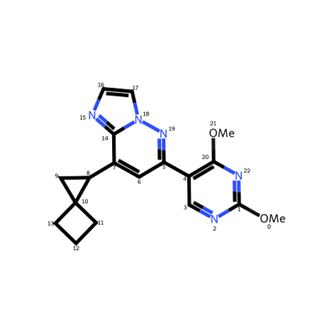 COc1ncc(-c2cc(C3CC34CCC4)c3nccn3n2)c(OC)n1